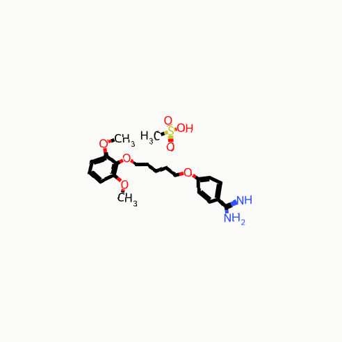 COc1cccc(OC)c1OCCCCCOc1ccc(C(=N)N)cc1.CS(=O)(=O)O